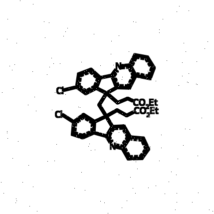 CCOC(=O)CCC1(CC2(CCC(=O)OCC)c3cc(Cl)ccc3-c3nc4ccccc4cc32)c2cc(Cl)ccc2-c2nc3ccccc3cc21